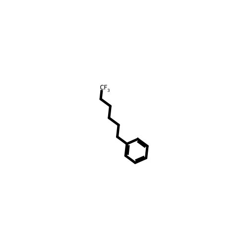 FC(F)(F)CCCCCc1[c]cccc1